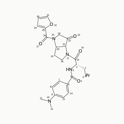 CC(C)C[C@H](NC(=O)c1ccc(N(C)C)cc1)C(=O)N1CCC2C1C(=O)CN2C(=O)c1ccco1